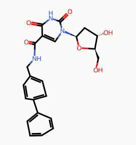 O=C(NCc1ccc(-c2ccccc2)cc1)c1cn([C@H]2C[C@H](O)[C@@H](CO)O2)c(=O)[nH]c1=O